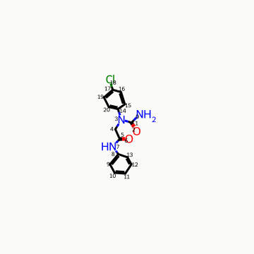 NC(=O)N(CC(=O)Nc1ccccc1)c1ccc(Cl)cc1